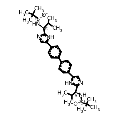 CC(C)[C@H](N[S@@+]([O-])C(C)(C)C)c1ncc(-c2ccc(-c3ccc(-c4cnc([C@@H](N[S@+]([O-])C(C)(C)C)C(C)C)[nH]4)cc3)cc2)[nH]1